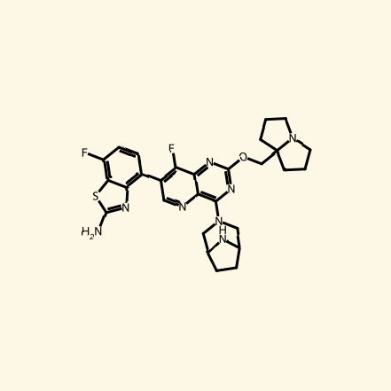 Nc1nc2c(-c3cnc4c(N5CC6CCC(C5)N6)nc(OCC56CCCN5CCC6)nc4c3F)ccc(F)c2s1